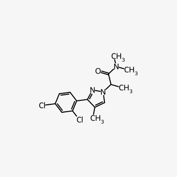 Cc1cn(C(C)C(=O)N(C)C)nc1-c1ccc(Cl)cc1Cl